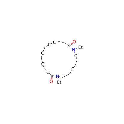 CCN1CCCCCCN(CC)C(=O)CCCCCCCCCCC1=O